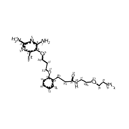 CCc1nc(N)nc(N)c1OCCCOc1ccccc1CCC(=O)NCCOCCN